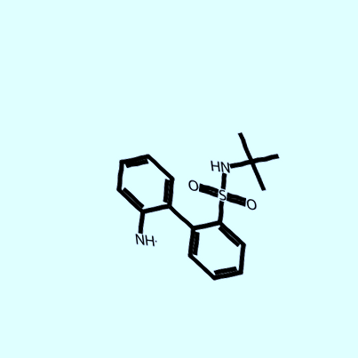 CC(C)(C)NS(=O)(=O)c1ccccc1-c1ccccc1[NH]